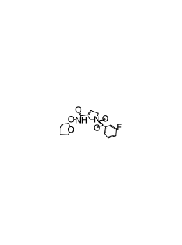 O=C(NOC1CCCCO1)C1=CCN(S(=O)(=O)c2cccc(F)c2)C1